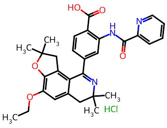 CCOc1cc2c(c3c1OC(C)(C)C3)C(c1ccc(C(=O)O)c(NC(=O)c3ccccn3)c1)=NC(C)(C)C2.Cl